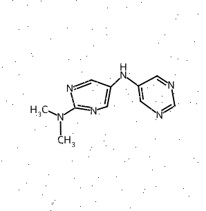 CN(C)c1ncc(Nc2cncnc2)cn1